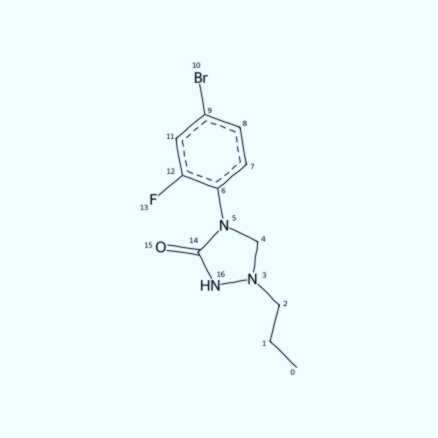 CCCN1CN(c2ccc(Br)cc2F)C(=O)N1